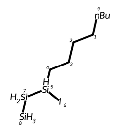 CCCCCCCC[SiH](I)[SiH2][SiH3]